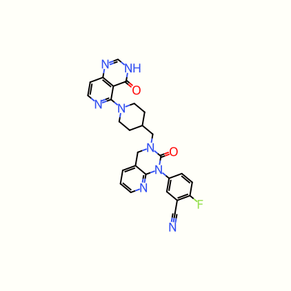 N#Cc1cc(N2C(=O)N(CC3CCN(c4nccc5nc[nH]c(=O)c45)CC3)Cc3cccnc32)ccc1F